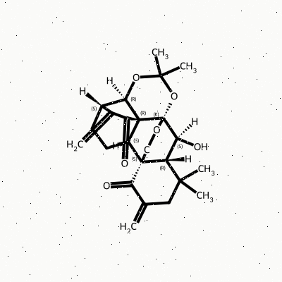 C=C1CC(C)(C)[C@H]2[C@H](O)[C@@]34OC[C@]2(C1=O)[C@@H]1CC[C@H]2C(=C)C(=O)[C@]13[C@@H]2OC(C)(C)O4